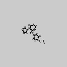 Cc1ccc(Oc2ncccc2C2C=COC2)cc1